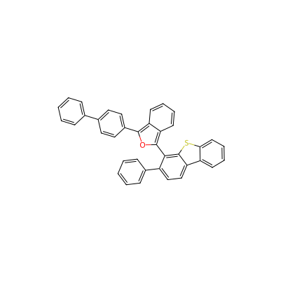 c1ccc(-c2ccc(-c3oc(-c4c(-c5ccccc5)ccc5c4sc4ccccc45)c4ccccc34)cc2)cc1